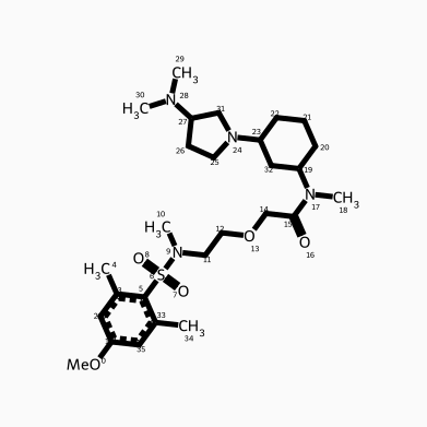 COc1cc(C)c(S(=O)(=O)N(C)CCOCC(=O)N(C)C2CCCC(N3CCC(N(C)C)C3)C2)c(C)c1